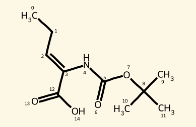 CCC=C(NC(=O)OC(C)(C)C)C(=O)O